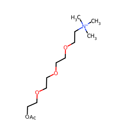 CC(=O)OCCOCCOCCOCC[N+](C)(C)C